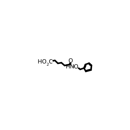 O=C(O)CCCCC(=O)NOCc1ccccc1